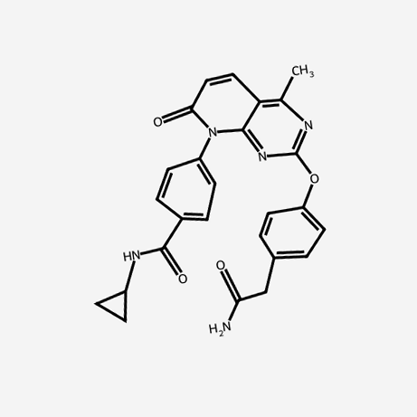 Cc1nc(Oc2ccc(CC(N)=O)cc2)nc2c1ccc(=O)n2-c1ccc(C(=O)NC2CC2)cc1